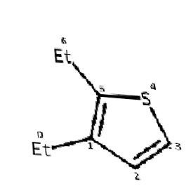 CCc1c[c]sc1CC